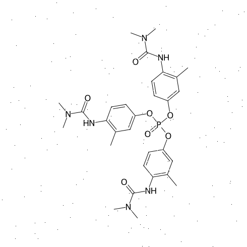 Cc1cc(OP(=O)(Oc2ccc(NC(=O)N(C)C)c(C)c2)Oc2ccc(NC(=O)N(C)C)c(C)c2)ccc1NC(=O)N(C)C